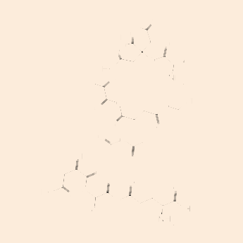 C=C(CC(=O)O)C(=O)OC(C)C(=O)OC(=O)CC[C@H](N)C(=O)O.CC(=O)OC=O.CCOC(=O)CCC(=O)OC(=O)C(C)=O.C[C@H](N)C(=O)OC(CC(=O)O)(CC(=O)O)C(=O)O